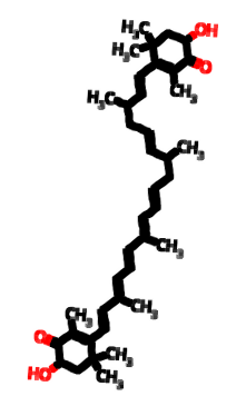 CC1=C(/C=C/C(C)=C/C=C/C(C)=C/C=C/CC(C)/C=C/CC(C)/C=C/C2=C(C)C(=O)C(O)CC2(C)C)C(C)(C)CC(O)C1=O